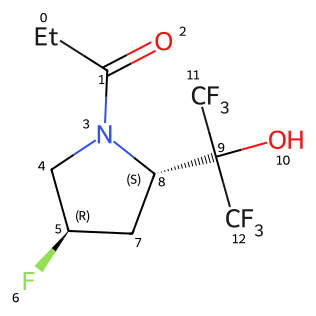 CCC(=O)N1C[C@H](F)C[C@H]1C(O)(C(F)(F)F)C(F)(F)F